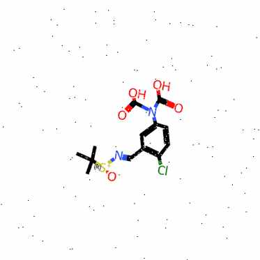 CC(C)(C)[S@+]([O-])N=Cc1cc(N(C(=O)O)C(=O)O)ccc1Cl